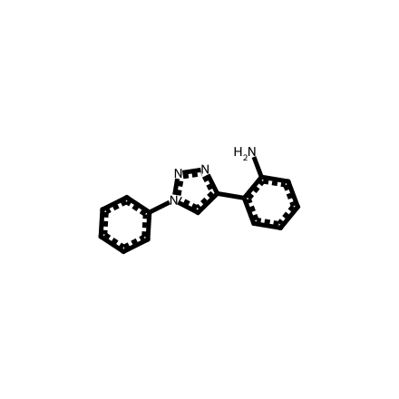 Nc1ccccc1-c1cn(-c2ccccc2)nn1